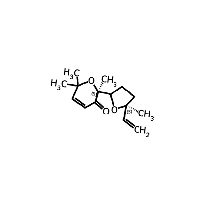 C=C[C@]1(C)CCC([C@]2(C)OC(C)(C)C=CC2=O)O1